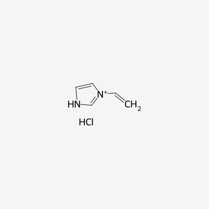 C=C[n+]1cc[nH]c1.Cl